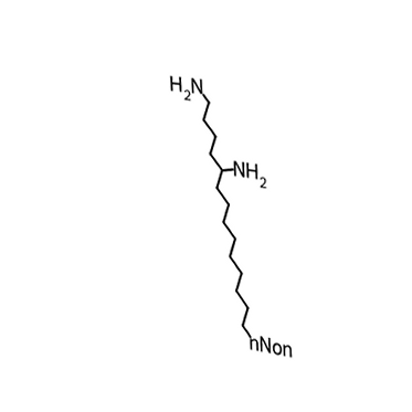 CCCCCCCCCCCCCCCCCCC(N)CCCCN